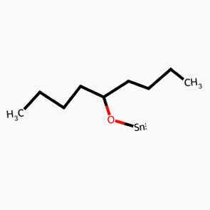 CCCCC(CCCC)[O][Sn]